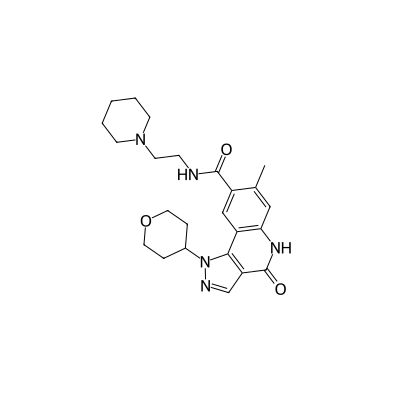 Cc1cc2[nH]c(=O)c3cnn(C4CCOCC4)c3c2cc1C(=O)NCCN1CCCCC1